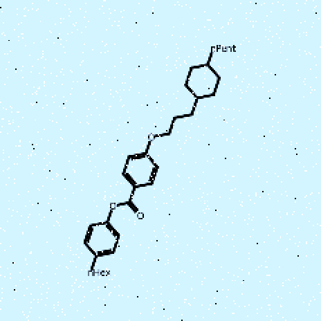 CCCCCCc1ccc(OC(=O)c2ccc(OCCCC3CCC(CCCCC)CC3)cc2)cc1